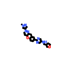 Cn1cc(-n2ccc(=O)c(Cc3cccc(-c4ncc(NCC5CCOC5)cn4)c3)n2)cn1